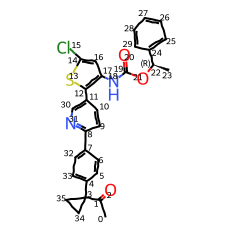 CC(=O)C1(c2ccc(-c3ccc(-c4sc(Cl)cc4NC(=O)O[C@H](C)c4ccccc4)cn3)cc2)CC1